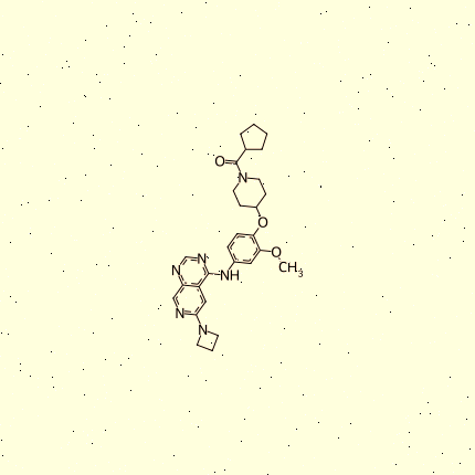 COc1cc(Nc2ncnc3cnc(N4CCC4)cc23)ccc1OC1CCN(C(=O)C2CCCC2)CC1